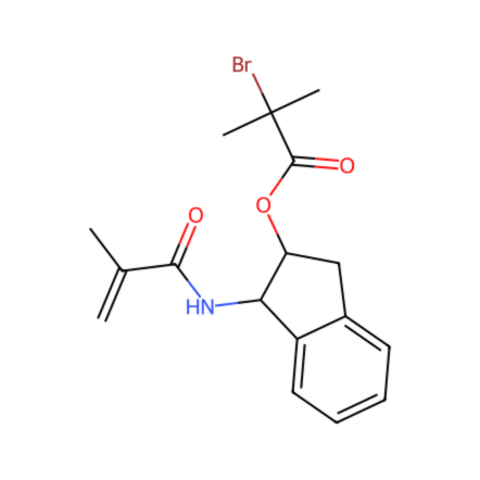 C=C(C)C(=O)NC1c2ccccc2CC1OC(=O)C(C)(C)Br